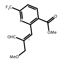 COC/C(C=O)=C/c1nc(C(F)(F)F)ccc1C(=O)OC